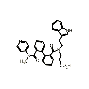 CN(C(=O)c1ccccc1-c1ccccc1C(=O)N(CCC(=O)O)CCc1c[nH]c2ccccc12)c1ccncc1